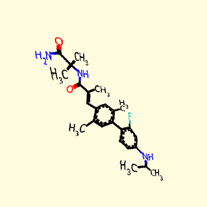 C/C(=C\c1cc(C)c(-c2ccc(NC(C)C)cc2F)cc1C)C(=O)NC(C)(C)C(N)=O